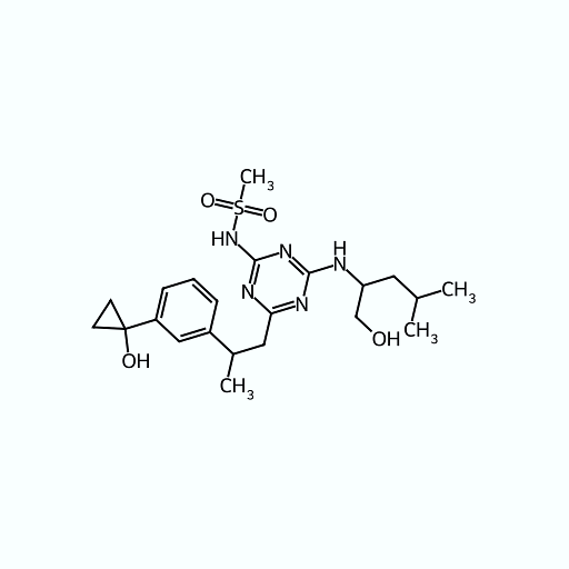 CC(C)CC(CO)Nc1nc(CC(C)c2cccc(C3(O)CC3)c2)nc(NS(C)(=O)=O)n1